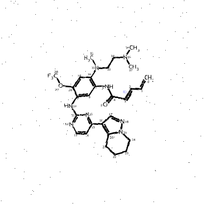 C=C/C=C/C(=O)Nc1cc(Nc2nccc(-c3cnn4c3CCCC4)n2)c(OC(F)(F)F)cc1N(C)CCN(C)C